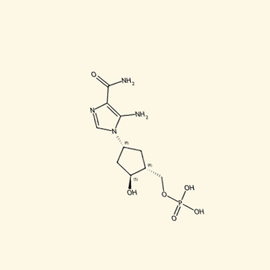 NC(=O)c1ncn([C@@H]2C[C@H](COP(=O)(O)O)[C@@H](O)C2)c1N